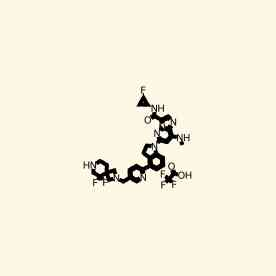 CNc1cc(N2CCc3c(-c4ccc(CN5CC6(CCNCC6(F)F)C5)cn4)cccc32)nn2c(C(=O)N[C@@H]3C[C@@H]3F)cnc12.O=C(O)C(F)(F)F